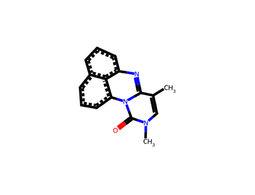 CC1=CN(C)C(=O)N2C1=Nc1cccc3cccc2c13